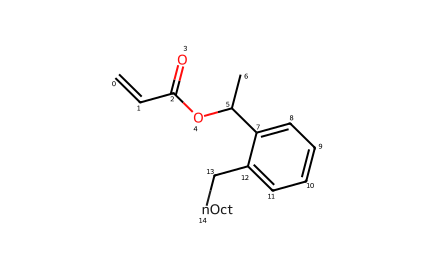 C=CC(=O)OC(C)c1ccccc1CCCCCCCCC